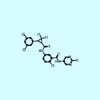 O=C(Nc1cnc(Cl)nc1)c1cc(NC(=O)C2C(c3cc(Cl)cc(Cl)c3)C2(Cl)Cl)ccc1Cl